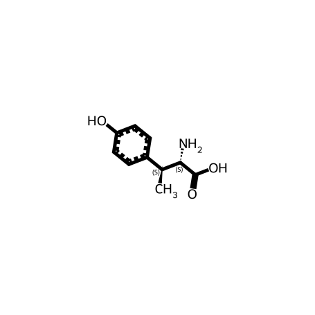 C[C@@H](c1ccc(O)cc1)[C@H](N)C(=O)O